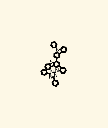 c1ccc(-c2nc(-c3ccccc3)nc(-n3c4ccccc4c4cc(-c5ccc6c(c5)c5ccccc5n6-c5ccccc5)c5sc6ccccc6c5c43)n2)cc1